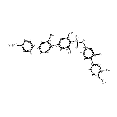 CCCCCc1ccc(-c2ccc(-c3cc(F)c(C(F)(F)Oc4ccc(-c5ccc(C(F)(F)F)c(F)c5)c(F)c4)c(F)c3)c(F)c2)nc1